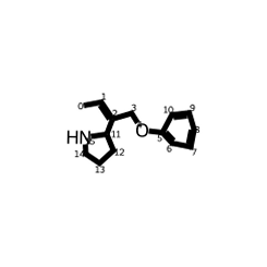 CC=C(COc1ccccc1)C1CCCN1